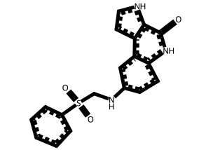 O=c1[nH]c2ccc(NCS(=O)(=O)c3ccccc3)cc2c2cc[nH]c12